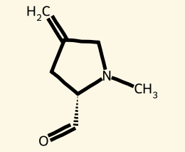 C=C1C[C@@H](C=O)N(C)C1